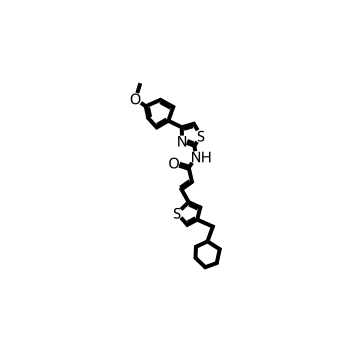 COc1ccc(-c2csc(NC(=O)C=Cc3cc(CC4CCCCC4)cs3)n2)cc1